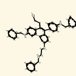 ClCC/C(=C(/c1ccc(OCCOCc2ccccc2)cc1)c1ccc(OCc2ccccc2)cc1)c1ccc(OCc2ccccc2)cc1